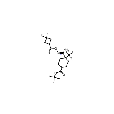 CC(C)(C)OC(=O)N1CCC(/C(N)=N/OC(=O)C2CC(F)(F)C2)(C(F)(F)F)CC1